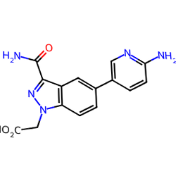 NC(=O)c1nn(CC(=O)O)c2ccc(-c3ccc(N)nc3)cc12